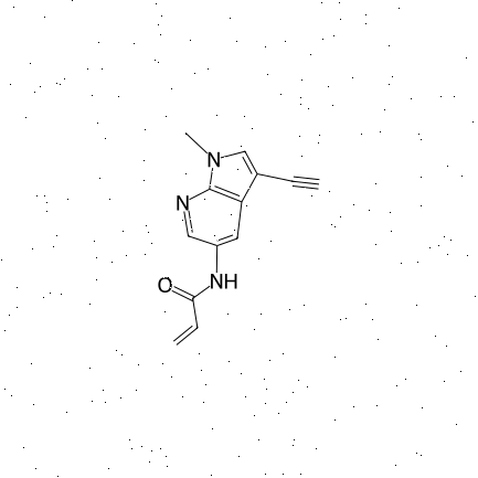 C#Cc1cn(C)c2ncc(NC(=O)C=C)cc12